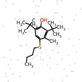 CCCCSc1cc(C(C)(C)C)c(O)c(C(C)(C)C)c1C